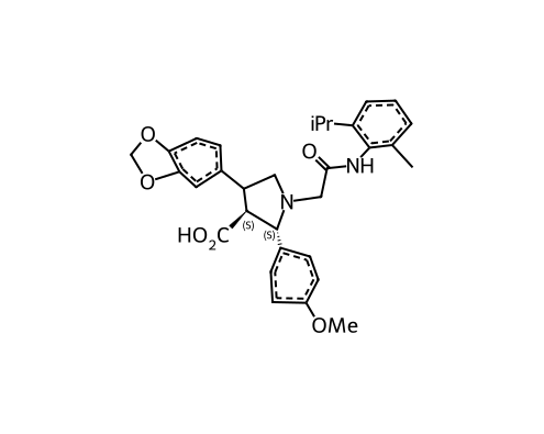 COc1ccc([C@@H]2[C@@H](C(=O)O)C(c3ccc4c(c3)OCO4)CN2CC(=O)Nc2c(C)cccc2C(C)C)cc1